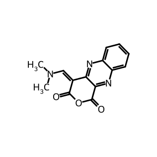 CN(C)C=C1C(=O)OC(=O)c2nc3ccccc3nc21